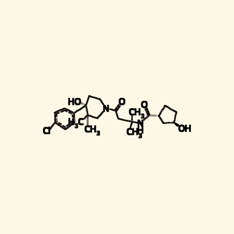 CC(C)(CC(=O)N1CC[C@](O)(c2ccc(Cl)cc2)C(C)(C)C1)NC(=O)[C@@H]1CC[C@@H](O)C1